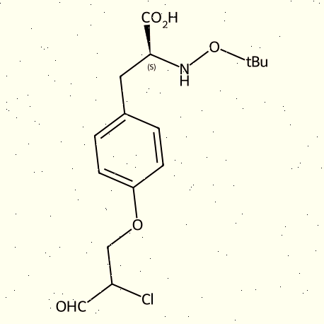 CC(C)(C)ON[C@@H](Cc1ccc(OCC(Cl)C=O)cc1)C(=O)O